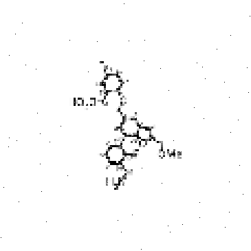 COCc1cc2cc(COc3ccc(F)cc3CC(=O)O)cc(-c3cccc(CN)c3F)c2o1